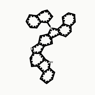 c1ccc2c(-n3c4cc5sc6ccc7c8ccccc8[nH]c7c6c5cc4c4ccc5ccccc5c43)cccc2c1